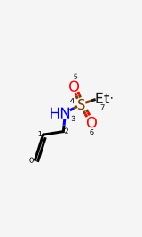 C=CCNS(=O)(=O)[CH]C